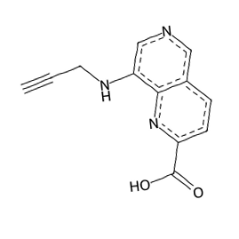 C#CCNc1cncc2ccc(C(=O)O)nc12